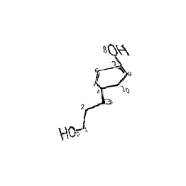 OCCCC1C=CC(O)=CC1